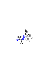 CC(C)(C)N=NC(C)(C#N)C1CC1